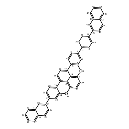 C1=C(c2ccc3c(c2)Oc2ccc4c5c(ccc-3c25)-c2ccc(-c3ccc5ccccc5c3)cc2O4)CCC(c2ccc3ccccc3c2)=C1